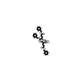 NNC(CCC(=O)OCc1ccccc1)C(=O)NC(CCC(=O)OCc1ccccc1)C(=O)OCc1ccccc1